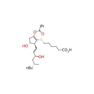 CCCC[C@@H](C)C[C@H](O)/C=C/[C@@H]1C(SCCCCCC(=O)O)=C(OC(=O)C(C)C)C[C@H]1O